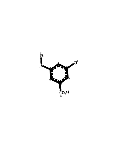 CCSc1cc(Cl)cc(C(=O)O)c1